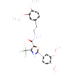 COc1ccc(CCNC(=O)c2sc(-c3ccc(OC)c(OC)c3)nc2C(F)(F)F)cc1OC